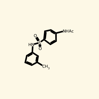 CC(=O)Nc1ccc(S(=O)(=O)Nc2cccc(C)c2)cc1